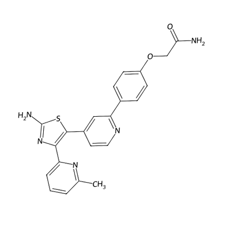 Cc1cccc(-c2nc(N)sc2-c2ccnc(-c3ccc(OCC(N)=O)cc3)c2)n1